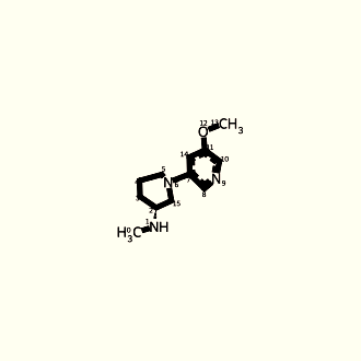 CN[C@@H]1CCCN(c2cncc(OC)c2)C1